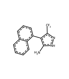 Nc1[nH]nc(C(F)(F)F)c1-c1cccc2ccccc12